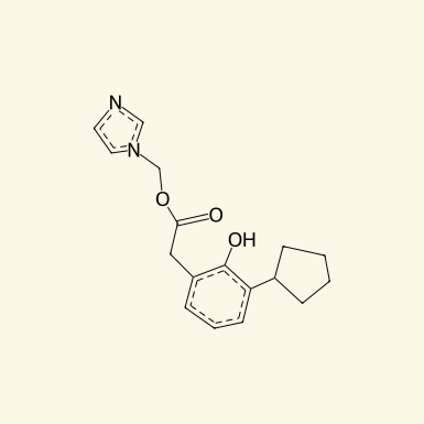 O=C(Cc1cccc(C2CCCC2)c1O)OCn1ccnc1